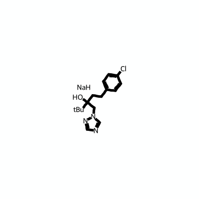 CC(C)(C)C(O)(CCc1ccc(Cl)cc1)Cn1cncn1.[NaH]